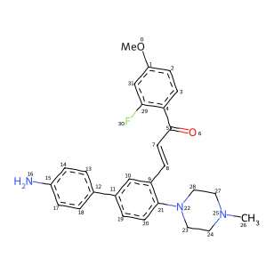 COc1ccc(C(=O)C=Cc2cc(-c3ccc(N)cc3)ccc2N2CCN(C)CC2)c(F)c1